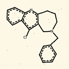 Clc1c2c(nc3ccccc13)CCCN(Cc1ccccc1)C2